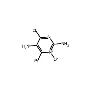 CC(C)c1c(N)c(Cl)nc(N)[n+]1[O-]